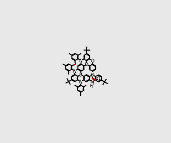 Cc1cc(C)c(N2c3cc4c(cc3B3c5ccccc5Oc5cc(C(C)(C)C)cc2c53)B2c3cc5c(cc3N(c3c(C)cc(C)cc3C)c3cc(C(C)(C)C)cc(c32)N4c2c(C)cc(C)cc2C)Nc2cc(C(C)(C)C)cc3c2B5c2ccccc2O3)c(C)c1